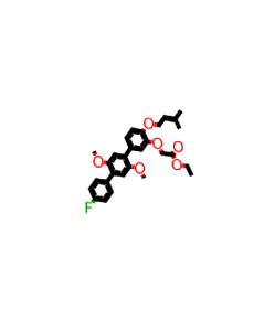 CCOC(=O)COc1cc(-c2cc(OC)c(-c3ccc(F)cc3)cc2OC)ccc1OCC=C(C)C